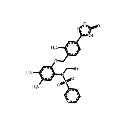 Cc1cc(OCc2ccc(-c3noc(=O)[nH]3)cc2C)c(N(CC(C)C)S(=O)(=O)c2cccnc2)cc1C